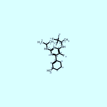 CC(C)Nc1nc(N[C@H](C)C(F)(F)F)c(F)c(C2=CC(O)CCC2)n1